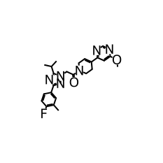 COc1cc(C2=CCN(C(=O)Cn3nc(-c4ccc(F)c(C)c4)nc3C(C)C)CC2)ncn1